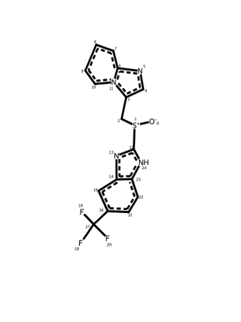 [O-][S+](Cc1cnc2ccccn12)c1nc2cc(C(F)(F)F)ccc2[nH]1